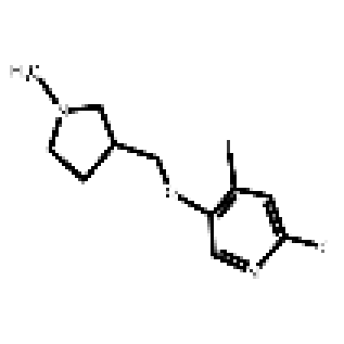 CN1CCC(COc2cnc(Cl)cc2I)C1